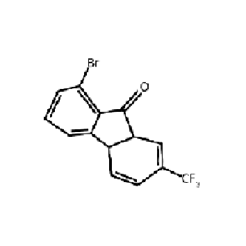 O=C1c2c(Br)cccc2C2C=CC(C(F)(F)F)=CC12